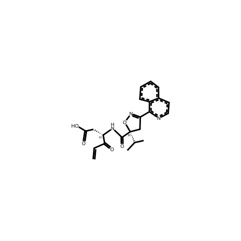 C=CC(=O)[C@H](CC(=O)O)NC(=O)[C@]1(C(C)C)CC(c2nccc3ccccc23)=NO1